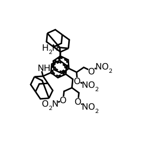 NC1(c2cc(CC(CO[N+](=O)[O-])CO[N+](=O)[O-])cc(C3C4CC5CC(C4)C(N)(c4cccc(C(CO[N+](=O)[O-])O[N+](=O)[O-])c4)C3C5)c2)C2CC3CC(C2)CC1C3